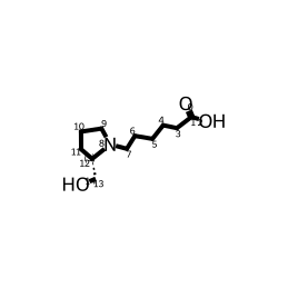 O=C(O)CCCCCN1CCC[C@H]1CO